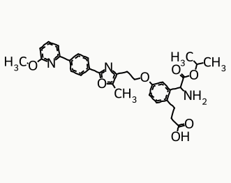 COc1cccc(-c2ccc(-c3nc(CCOc4ccc(CCC(=O)O)c(C(N)C(=O)OC(C)C)c4)c(C)o3)cc2)n1